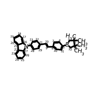 CC1(C)CB(c2ccc(/C=C/c3ccc(-n4c5ccccc5c5ccccc54)cc3)cc2)CC1(C)C